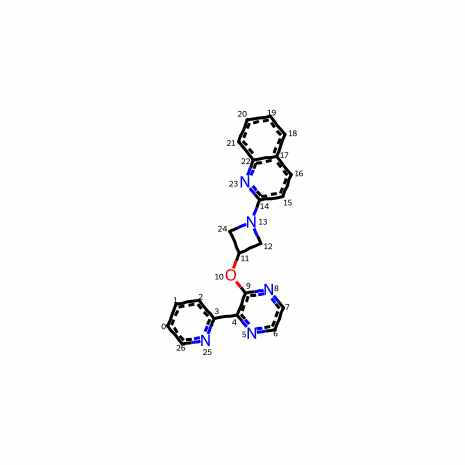 c1ccc(-c2nccnc2OC2CN(c3ccc4ccccc4n3)C2)nc1